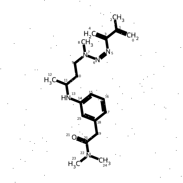 C=C(C)C(=C)/N=N\N(C)CCC(C)Nc1cccc(CC(=O)N(C)C)c1